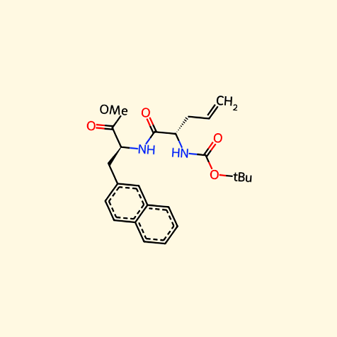 C=CC[C@H](NC(=O)OC(C)(C)C)C(=O)N[C@@H](Cc1ccc2ccccc2c1)C(=O)OC